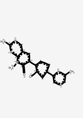 Cc1cncc(-c2ccc(-c3cc4cnc(N)nc4n(C)c3=O)c(Cl)c2)n1